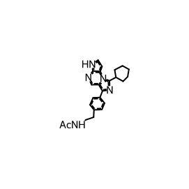 CC(=O)NCCc1ccc(-c2nc(C3CCCCC3)n3c2cnc2[nH]ccc23)cc1